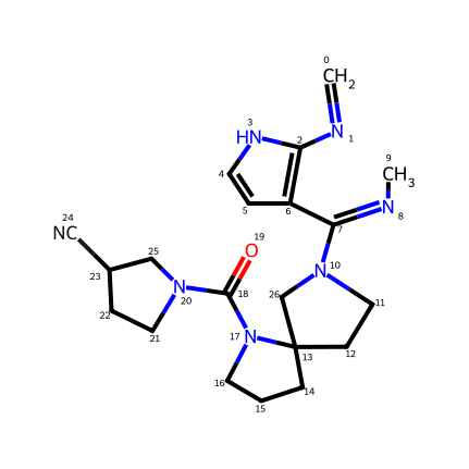 C=Nc1[nH]ccc1/C(=N\C)N1CCC2(CCCN2C(=O)N2CCC(C#N)C2)C1